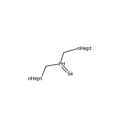 CCCCCCCC[PH](=[Se])CCCCCCCC